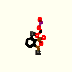 CCSc1cccc(CC)c1S(=O)(=O)OCOP=O